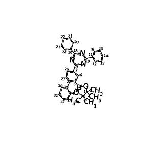 CC1(C)OB(c2cc(-c3nc(-c4ccccc4)nc(-c4ccccc4)n3)ccc2-c2ccccc2)OC1(C)C